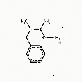 C[N+](Cc1ccccc1)=C(N)NN.I